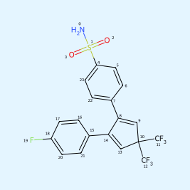 NS(=O)(=O)c1ccc(C2=CC(C(F)(F)F)(C(F)(F)F)C=C2c2ccc(F)cc2)cc1